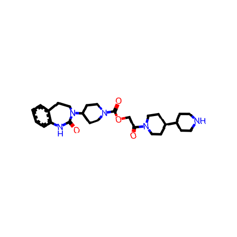 O=C(COC(=O)N1CCC(N2CCc3ccccc3NC2=O)CC1)N1CCC(C2CCNCC2)CC1